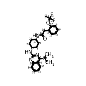 CN(C)c1nc(N[C@H]2CC[C@@H](NC(=O)Cc3ccccc3OC(F)(F)F)CC2)nc2ccccc12